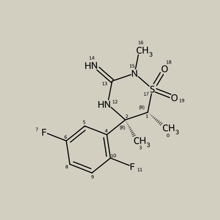 C[C@@H]1[C@@](C)(c2cc(F)ccc2F)NC(=N)N(C)S1(=O)=O